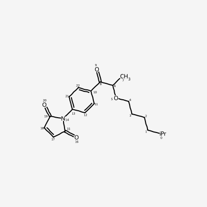 CC(C)CCCCOC(C)C(=O)c1ccc(N2C(=O)C=CC2=O)cc1